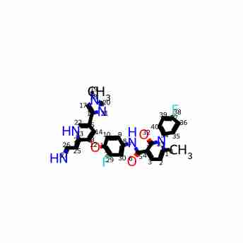 Cc1ccc(C(=O)Nc2ccc(OC3=CC(c4cn(C)cn4)=CN/C3=C\C=N)c(F)c2)c(=O)n1-c1ccc(F)cc1